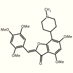 COc1cc(OC)c(OC)cc1/C=C1\Oc2c(c(OC)cc(OC)c2C2CCN(C)CC2)C1=O